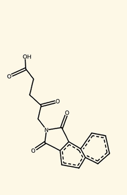 O=C(O)CCC(=O)CN1C(=O)c2ccc3ccccc3c2C1=O